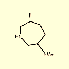 CNC1CC[C@H](C)CNC1